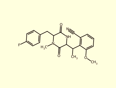 COc1cccc(C#N)c1C(C)C1NC(=O)C(Cc2ccc(F)cc2)N(C)C1=O